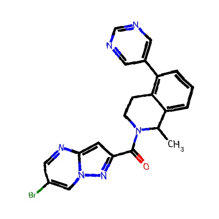 CC1c2cccc(-c3cncnc3)c2CCN1C(=O)c1cc2ncc(Br)cn2n1